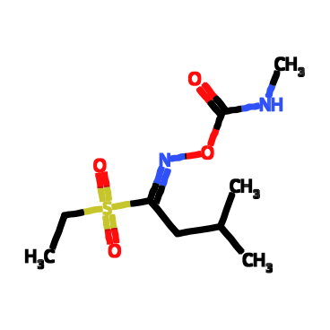 CCS(=O)(=O)C(CC(C)C)=NOC(=O)NC